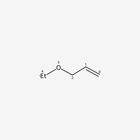 C=CCO[CH]C